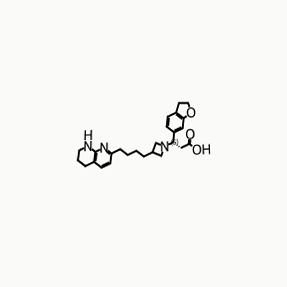 O=C(O)C[C@@H](c1ccc2c(c1)OCC2)N1CC(CCCCc2ccc3c(n2)NCCC3)C1